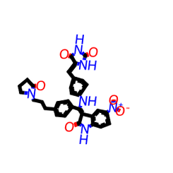 O=C1NC(=O)/C(=C/c2ccc(NC(=C3C(=O)Nc4ccc([N+](=O)[O-])cc43)c3ccc(CCCN4CCCC4=O)cc3)cc2)N1